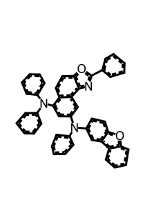 c1ccc(-c2nc3c(ccc4c(N(c5ccccc5)c5ccccc5)cc(N(c5ccccc5)c5ccc6oc7ccccc7c6c5)cc43)o2)cc1